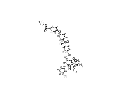 CCOC(=O)c1ccc(Oc2ccc(S(=O)(=O)c3ccc(CCN(C[C@H](O)c4cccc(Cl)c4)C(=O)OC(C)(C)C)cc3)cc2)cc1